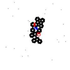 c1ccc(-c2ccccc2N(c2ccc3c(c2)C2(c4ccccc4-c4ccccc42)c2ccccc2-3)c2cccc3oc4c(-c5cc6ccccc6c6ccccc56)c5ccccc5cc4c23)cc1